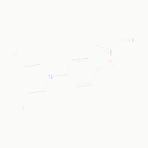 O=C(O)c1cc2cc(N(CCCl)CCCl)ccc2o1